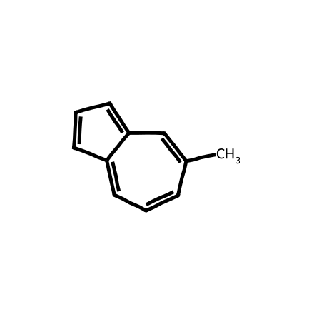 Cc1cccc2cccc-2c1